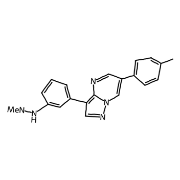 CNNc1cccc(-c2cnn3cc(-c4ccc(C)cc4)cnc23)c1